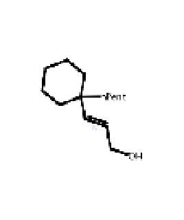 CCCCCC1(/C=C/CO)CCCCC1